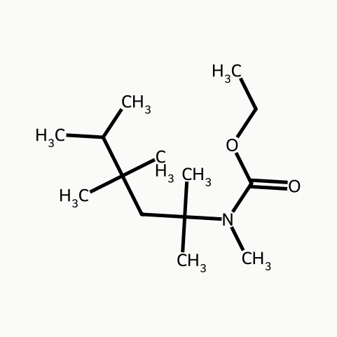 CCOC(=O)N(C)C(C)(C)CC(C)(C)C(C)C